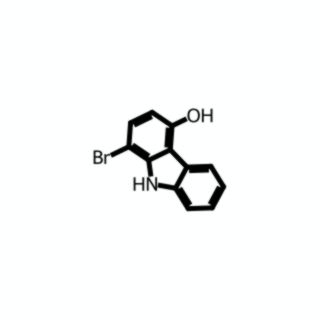 Oc1ccc(Br)c2[nH]c3ccccc3c12